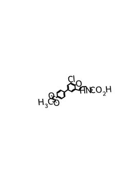 CS(=O)(=O)c1ccc(-c2cc(Cl)c3oc(CNC(=O)O)cc3c2)cc1